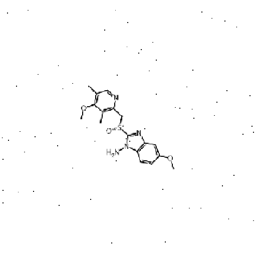 COc1ccc2c(c1)nc([S@@+]([O-])Cc1ncc(C)c(OC)c1C)n2N